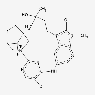 Cn1c(=O)n(CCC(C)(C)O)c2cc(Nc3nc(N4CC5CCC(C4)C5(F)F)ncc3Cl)ccc21